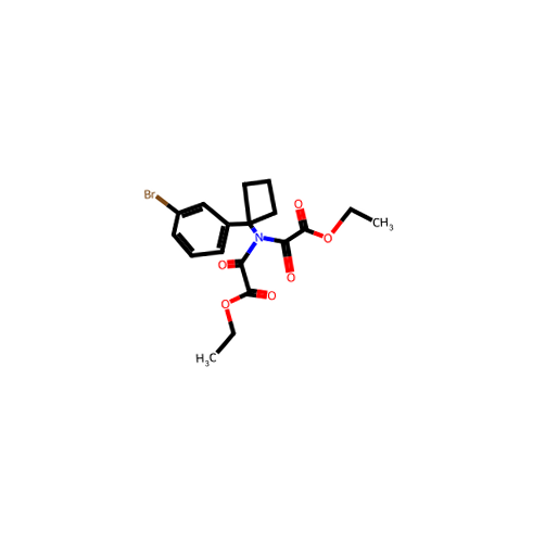 CCOC(=O)C(=O)N(C(=O)C(=O)OCC)C1(c2cccc(Br)c2)CCC1